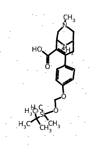 CN1CC2CC(c3ccc(OCO[Si](C)(C)C(C)(C)C)cc3)=C(C(=O)O)C(C1)N2C